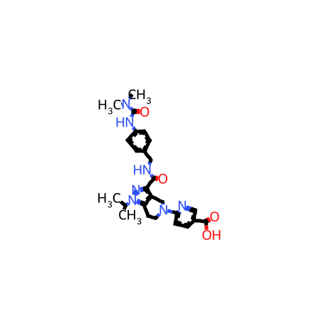 CC(C)n1nc(C(=O)NCc2ccc(NC(=O)N(C)C)cc2)c2c1CCN(c1ccc(C(=O)O)cn1)C2